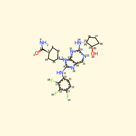 NC(=O)[C@H]1CC[C@@H](n2c(Nc3ccc(F)c(F)c3F)nc3cnc(N[C@@H]4CCC[C@H]4O)nc32)CC1